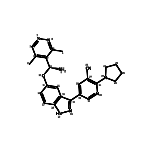 Cc1cnnc(C)c1[C@@H](N)Oc1ccc2[nH]nc(-c3cnc(N4CCCC4)c(C#N)c3)c2c1